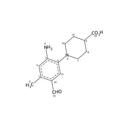 Cc1cc(N)c(N2CCC(C(=O)O)CC2)cc1C=O